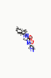 CC1=NN(C(=O)c2ccncc2)C(=O)C1/N=N/c1ccc2ccccc2c1